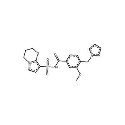 COc1cc(C(=O)NS(=O)(=O)c2cnn3c2OCCC3)ccc1Cn1cccn1